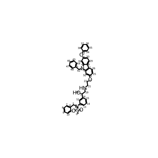 CS(=O)(=O)N(Cc1ccccc1)c1cccc([C@@H](O)CNCCOc2ccc3c4ccc(Oc5ccccc5)cc4n(Cc4ccccc4)c3c2)c1